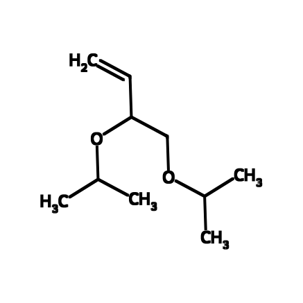 C=CC(COC(C)C)OC(C)C